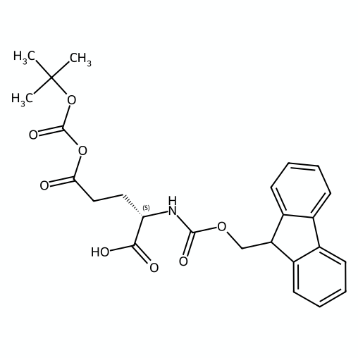 CC(C)(C)OC(=O)OC(=O)CC[C@H](NC(=O)OCC1c2ccccc2-c2ccccc21)C(=O)O